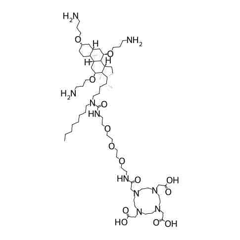 CCCCCCCCN(CCC[C@@H](C)[C@H]1CC[C@H]2C3[C@H](OCCCN)C[C@H]4C[C@H](OCCCN)CC[C@]4(C)[C@H]3C[C@H](OCCCN)[C@]12C)C(=O)NCCOCCOCCOCCNC(=O)CN1CCN(CC(=O)O)CCN(CC(=O)O)CCN(CC(=O)O)CC1